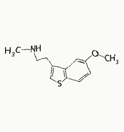 CNCCc1csc2ccc(OC)cc12